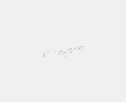 CCCN(CCCOc1ccc2c(Nc3cc(CC(=O)Nc4cccc(F)c4)[nH]n3)ncnc2c1)CCOP(=O)(O)O